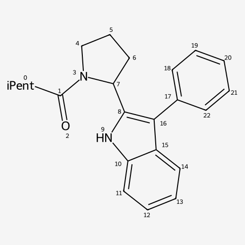 CCCC(C)C(=O)N1CCCC1c1[nH]c2ccccc2c1-c1ccccc1